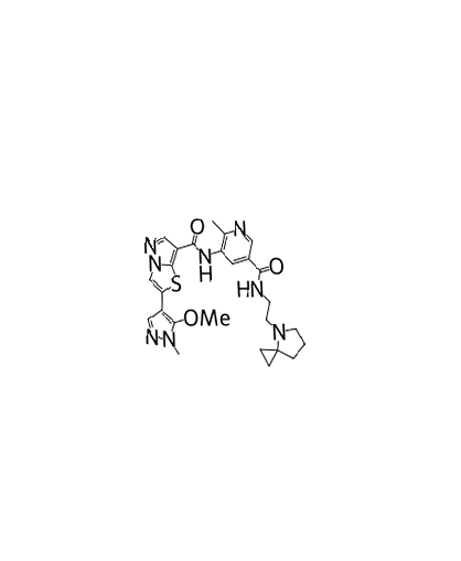 COc1c(-c2cn3ncc(C(=O)Nc4cc(C(=O)NCCN5CCCC56CC6)cnc4C)c3s2)cnn1C